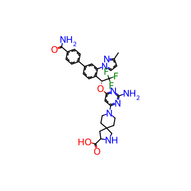 Cc1ccn(-c2cc(-c3ccc(C(N)=O)cc3)ccc2[C@@H](Oc2cc(N3CCC4(CC3)CNC(C(=O)O)C4)nc(N)n2)C(F)(F)F)n1